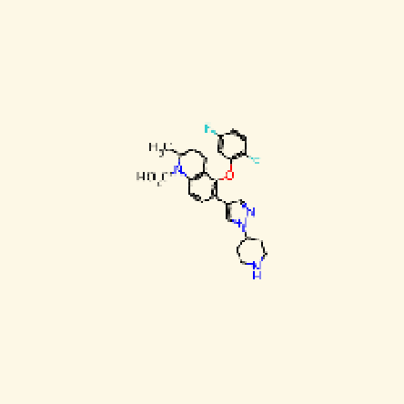 C[C@H]1CCc2c(ccc(-c3cnn(C4CCNCC4)c3)c2Oc2cc(F)ccc2F)N1C(=O)O